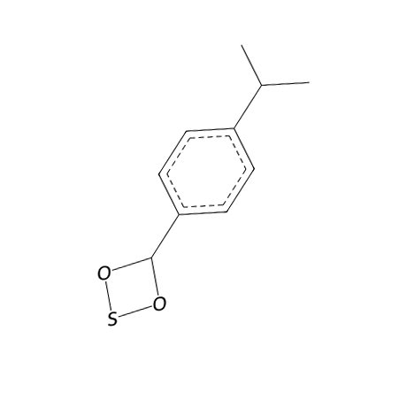 CC(C)c1ccc(C2OSO2)cc1